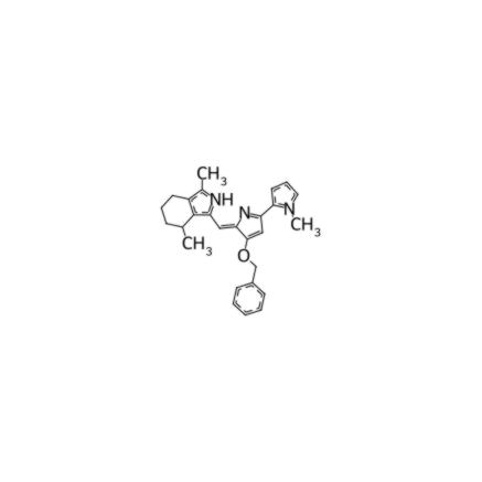 Cc1[nH]c(/C=C2\N=C(c3cccn3C)C=C2OCc2ccccc2)c2c1CCCC2C